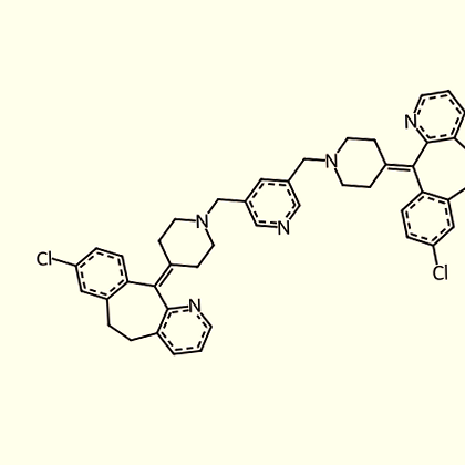 Clc1ccc2c(c1)CCc1cccnc1C2=C1CCN(Cc2cncc(CN3CCC(=C4c5ccc(Cl)cc5CCc5cccnc54)CC3)c2)CC1